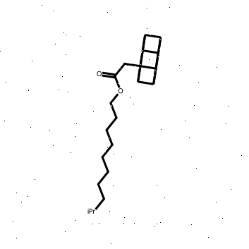 CC(C)CCCCCCCCOC(=O)CC12C3C4C5C3C1C5C42